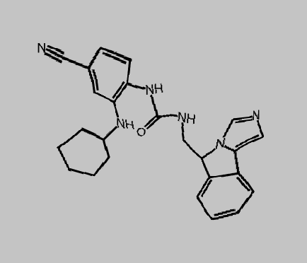 N#Cc1ccc(NC(=O)NCC2c3ccccc3-c3cncn32)c(NC2CCCCC2)c1